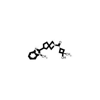 Cn1c(C2CCC3(C2)CN(C(=O)[C@H]2C[C@@](C)(O)C2)C3)nc2ccccc21